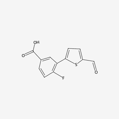 O=Cc1ccc(-c2cc(C(=O)O)ccc2F)s1